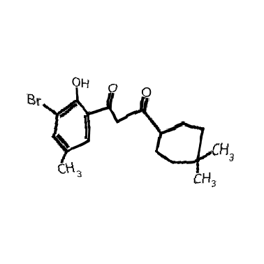 Cc1cc(Br)c(O)c(C(=O)CC(=O)C2CCC(C)(C)CC2)c1